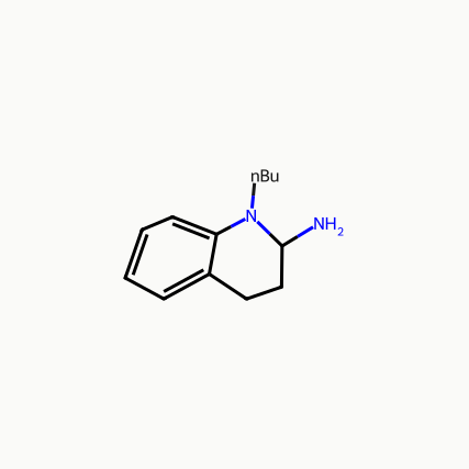 CCCCN1c2ccccc2CCC1N